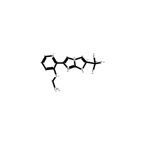 CCSc1cccnc1-c1cn2cc(C(F)(F)F)sc2n1